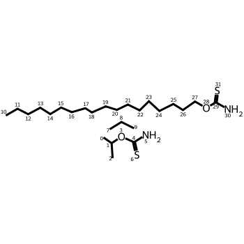 CC(C)OC(N)=S.CCC.CCCCCCCCCCCCCCCCCCOC(N)=S